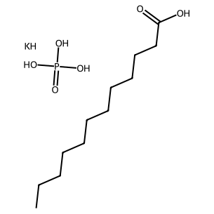 CCCCCCCCCCCC(=O)O.O=P(O)(O)O.[KH]